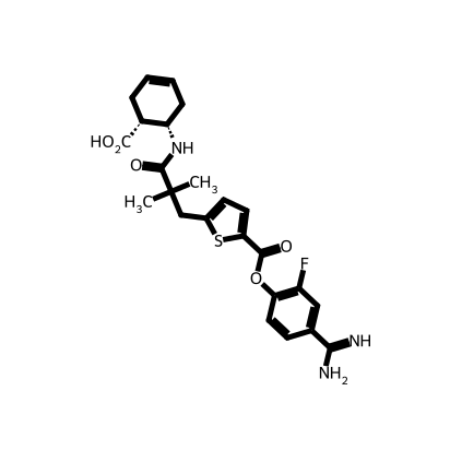 CC(C)(Cc1ccc(C(=O)Oc2ccc(C(=N)N)cc2F)s1)C(=O)N[C@H]1CC=CC[C@H]1C(=O)O